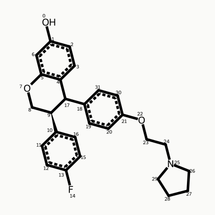 Oc1ccc2c(c1)OC[C@H](c1ccc(F)cc1)C2c1ccc(OCCN2CCCC2)cc1